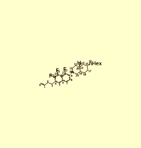 C=CCCc1cc2ccc([C@@H]3CC[C@@H]4CC(CCCCCC)CCC4C3)c(F)c2c(F)c1F